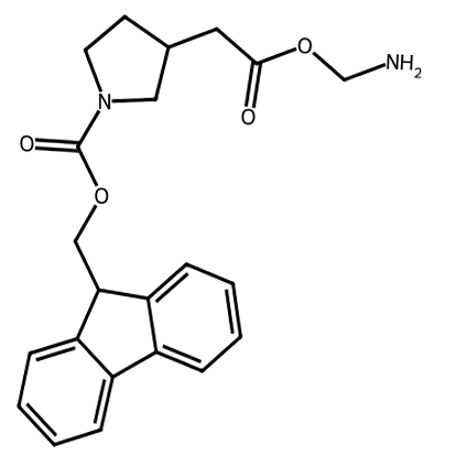 NCOC(=O)CC1CCN(C(=O)OCC2c3ccccc3-c3ccccc32)C1